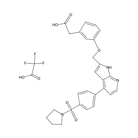 O=C(O)C(F)(F)F.O=C(O)Cc1cccc(OCc2cc3c(-c4ccc(S(=O)(=O)N5CCCC5)cc4)ccnc3[nH]2)c1